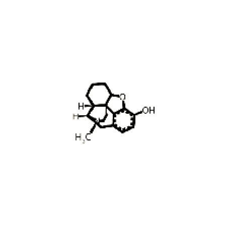 CN1CC[C@]23c4c5ccc(O)c4OC2CCC[C@H]3[C@H]1C5